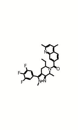 CCC1Cc2c(nn(C)c2-c2cc(F)c(F)c(F)c2)C(C)N1C(=O)c1ccc2c(C)cc(C)nc2c1